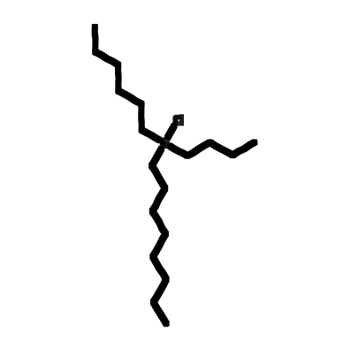 CCCCCCCC[Si](Cl)(CCCC)CCCCCC